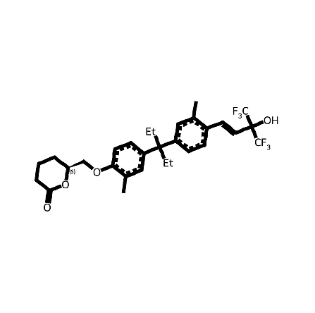 CCC(CC)(c1ccc(C=CC(O)(C(F)(F)F)C(F)(F)F)c(C)c1)c1ccc(OC[C@@H]2CCCC(=O)O2)c(C)c1